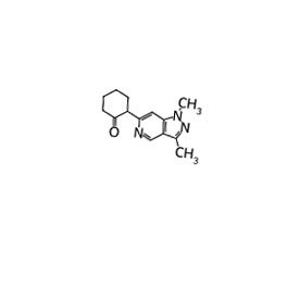 Cc1nn(C)c2cc(C3CCCCC3=O)ncc12